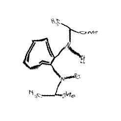 CCN(c1ccccc1N(CC)C(C)OC)C(C)OC